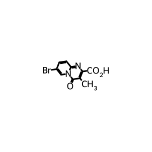 Cc1c(C(=O)O)nc2ccc(Br)cn2c1=O